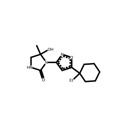 CCC1(c2cc(N3C(=O)NCC3(C)O)no2)CCCCC1